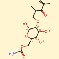 C=C(C)C(=O)C(C)CO[C@@H]1[C@@H](O)[C@H](O)[C@@H](COC(N)=O)O[C@H]1O